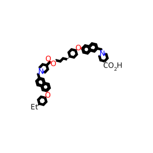 CC[C@H]1CC[C@@H](Oc2ccc3cc(CN4CCC(C(=O)OCCCC[C@H]5CC[C@@H](Oc6ccc7cc(CN8CCC(C(=O)O)CC8)ccc7c6)CC5)CC4)ccc3c2)CC1